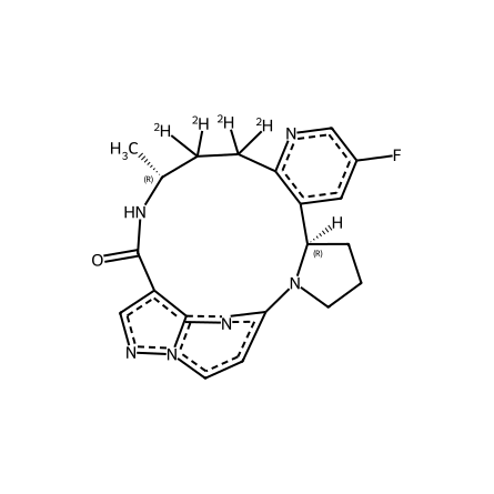 [2H]C1([2H])c2ncc(F)cc2[C@H]2CCCN2c2ccn3ncc(c3n2)C(=O)N[C@H](C)C1([2H])[2H]